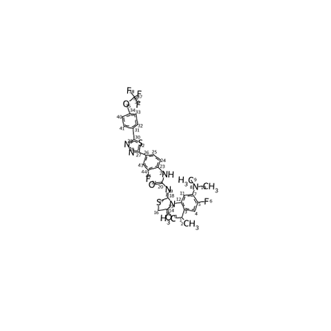 CC(C)c1cc(F)c(N(C)C)cc1N1C(=O)CS/C1=N\C(=O)Nc1ccc(-c2nnc(-c3ccc(OC(F)(F)F)cc3)s2)cc1F